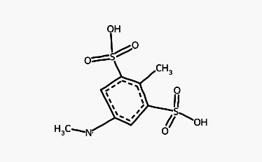 C[N]c1cc(S(=O)(=O)O)c(C)c(S(=O)(=O)O)c1